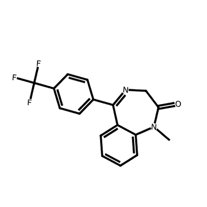 CN1C(=O)CN=C(c2ccc(C(F)(F)F)cc2)c2ccccc21